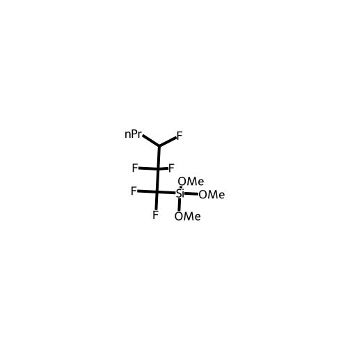 CCCC(F)C(F)(F)C(F)(F)[Si](OC)(OC)OC